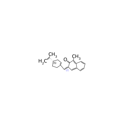 C=C(C)[C@@H]1CC=C(/C=C2/C=c3ccccc3=C(C)C2=O)CC1